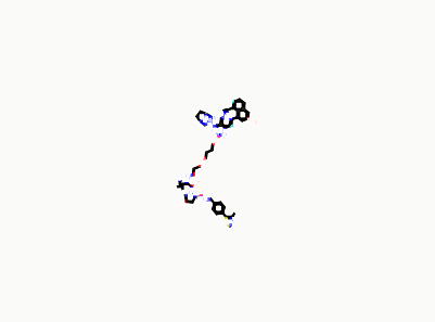 C#Cc1c(F)ccc2cc(O)cc(-c3ncc4c(N5CC6CCC(C5)N6)nc(OCCCCOCCC(=O)NC(C(=O)N5C[C@H](O)C[C@@H]5C(=O)NCc5ccc(-c6scnc6C)cc5)C(C)(C)C)nc4c3F)c12